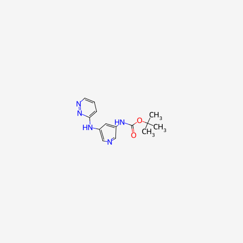 CC(C)(C)OC(=O)Nc1cncc(Nc2cccnn2)c1